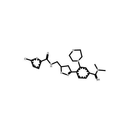 CN(C)C(=N)c1ccc(C2=NOC(CNC(=O)c3ccc(Cl)s3)C2)c(N2CCOCC2)c1